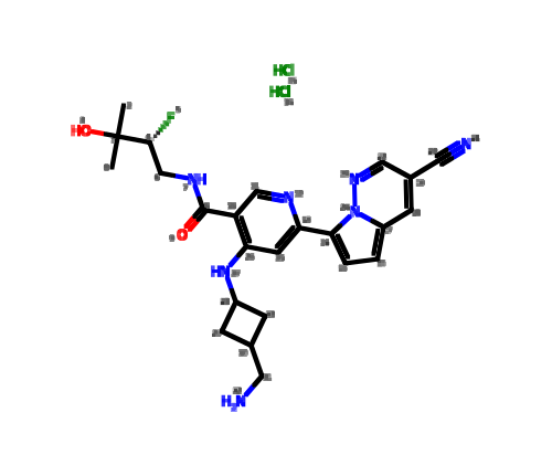 CC(C)(O)[C@H](F)CNC(=O)c1cnc(-c2ccc3cc(C#N)cnn23)cc1NC1CC(CN)C1.Cl.Cl